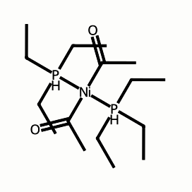 CC[PH](CC)(CC)[Ni]([C](C)=O)([C](C)=O)[PH](CC)(CC)CC